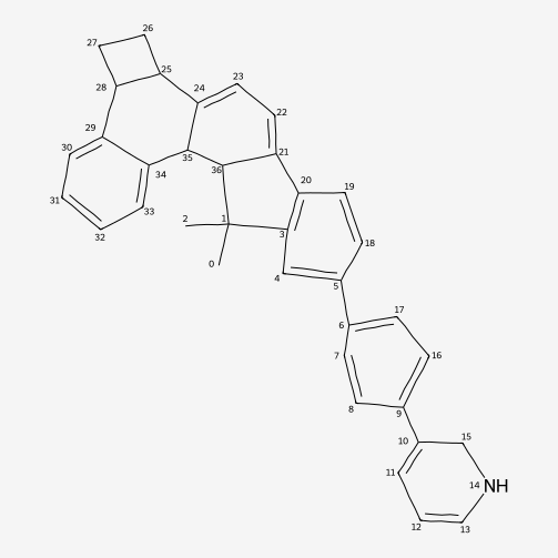 CC1(C)c2cc(-c3ccc(C4=CC=CNC4)cc3)ccc2C2=CC=C3C4CCC4c4ccccc4C3C21